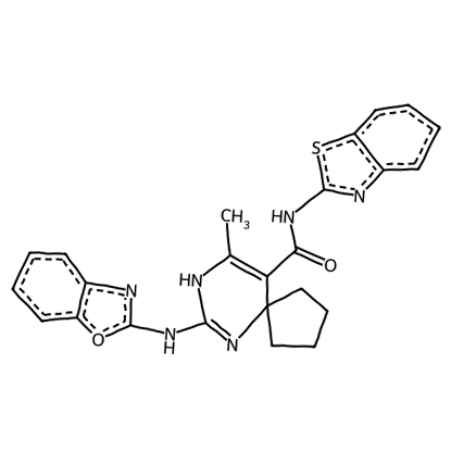 CC1=C(C(=O)Nc2nc3ccccc3s2)C2(CCCC2)N=C(Nc2nc3ccccc3o2)N1